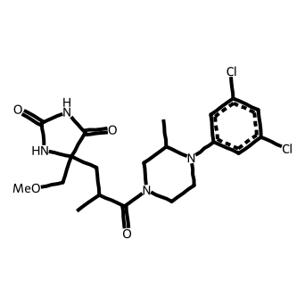 COCC1(CC(C)C(=O)N2CCN(c3cc(Cl)cc(Cl)c3)C(C)C2)NC(=O)NC1=O